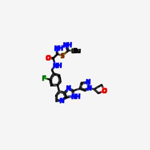 CC(C)(C)C(=N)SC(=N)C(=O)NCc1ccc(-c2ccnc3[nH]c(-c4cnn(C5COC5)c4)nc23)cc1F